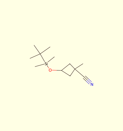 CC1(C#N)CC(O[Si](C)(C)C(C)(C)C)C1